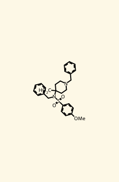 COc1ccc(S(=O)(=O)N(Cc2ccccc2)C2(C(=O)O)CCN(Cc3ccccc3)CC2)cc1